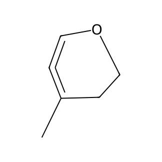 CC1=C=COCC1